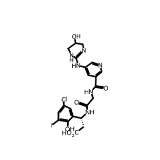 O=C(O)C[C@@H](NC(=O)CNC(=O)c1cncc(NC2=NCC(O)CN2)c1)c1cc(Cl)cc(I)c1O